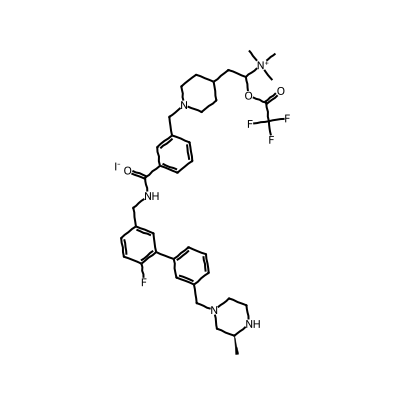 C[C@H]1CN(Cc2cccc(-c3cc(CNC(=O)c4cccc(CN5CCC(CC(OC(=O)C(F)(F)F)[N+](C)(C)C)CC5)c4)ccc3F)c2)CCN1.[I-]